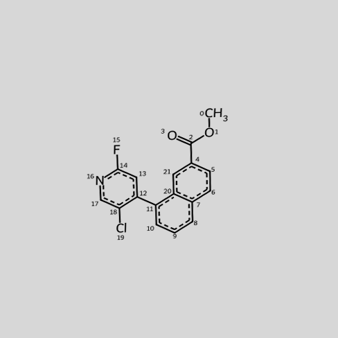 COC(=O)c1ccc2cccc(-c3cc(F)ncc3Cl)c2c1